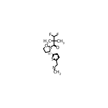 C=NCc1ccc([C@@H]2CCON2C(=O)C(C)(C)C(F)F)s1